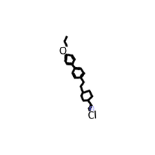 CCCOc1ccc(-c2ccc(CCC3CCC(/C=C/Cl)CC3)cc2)cc1